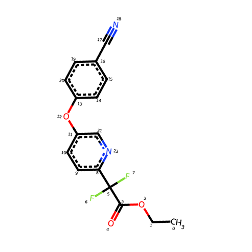 CCOC(=O)C(F)(F)c1ccc(Oc2ccc(C#N)cc2)cn1